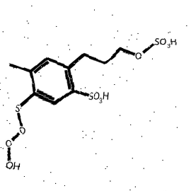 Cc1cc(CCCOS(=O)(=O)O)c(S(=O)(=O)O)cc1SOOO